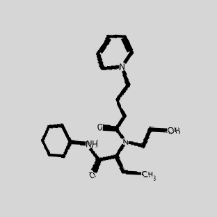 CCC(C(=O)NC1CCCCC1)N(CCO)C(=O)CCCN1C=CC=CC1